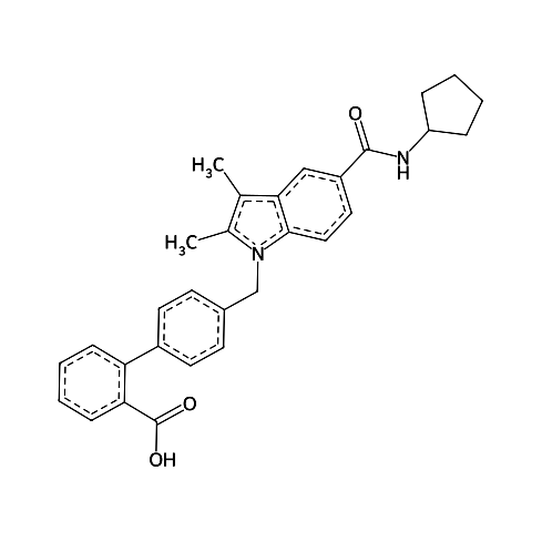 Cc1c(C)n(Cc2ccc(-c3ccccc3C(=O)O)cc2)c2ccc(C(=O)NC3CCCC3)cc12